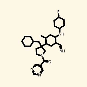 CC1CC(NC2CCC(F)CC2)C(C=N)CC1C1(CC2CCCCC2)CCN(C(=O)c2cncnc2)C1